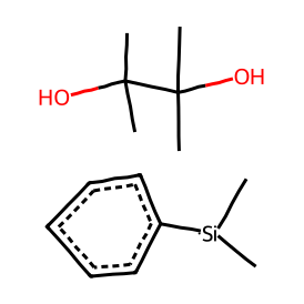 CC(C)(O)C(C)(C)O.C[Si](C)c1ccccc1